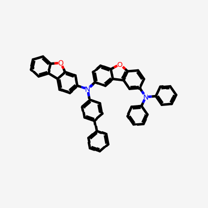 c1ccc(-c2ccc(N(c3ccc4c(c3)oc3ccccc34)c3ccc4oc5ccc(N(c6ccccc6)c6ccccc6)cc5c4c3)cc2)cc1